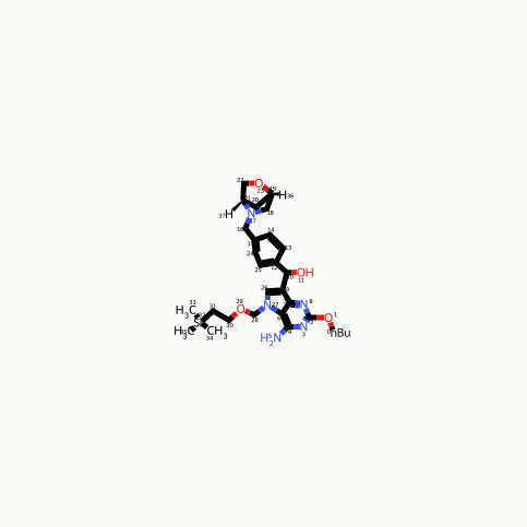 CCCCOc1nc(N)c2c(n1)c(C(O)c1ccc(CN3C[C@@H]4C[C@H]3CO4)cc1)cn2COCC[Si](C)(C)C